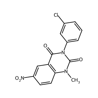 Cn1c(=O)n(-c2cccc(Cl)c2)c(=O)c2cc([N+](=O)[O-])ccc21